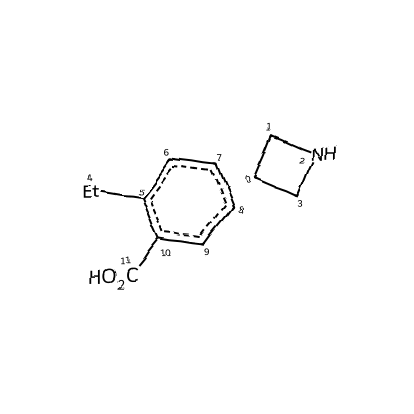 C1CNC1.CCc1ccccc1C(=O)O